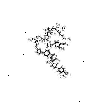 CCCCCCN(C)C.Cc1cc(N2CCC(OCC[N+](C)(C)C)C2)ccc1N.Cc1cc(N2CCC(OP(=O)([O-])OC(=O)C[N+](C)(C)C)C2)ccc1N.Cc1cc(N2CCC([N+](C)(C)C)C2)ccc1N.[Cl-].[Cl-]